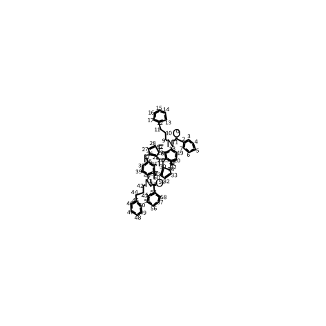 O=C(c1ccccc1)N(CCCc1ccccc1)c1ccc(F)[c]([Ti]([C]2=CC=CC2)([C]2=CC=CC2)[c]2c(F)ccc(N(CCCc3ccccc3)C(=O)c3ccccc3)c2F)c1F